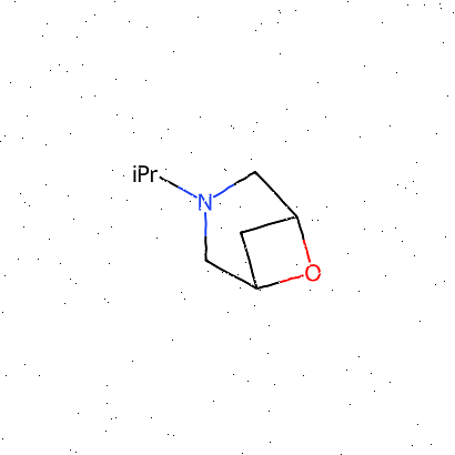 CC(C)N1CC2CC(C1)O2